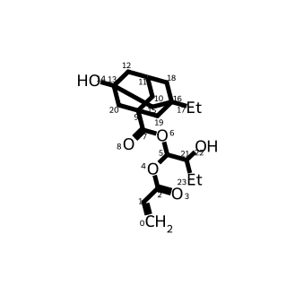 C=CC(=O)OC(OC(=O)C12CC3CC(O)(CC(CC)(C3)C1)C2)C(O)CC